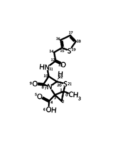 CC12CC1(C(=O)O)N1C(=O)C(NC(=O)Cc3cccs3)[C@H]1S2